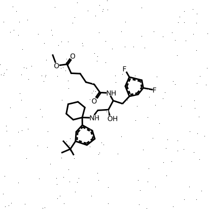 COC(=O)CCCCC(=O)NC(Cc1cc(F)cc(F)c1)[C@@H](O)CNC1(c2cccc(C(C)(C)C)c2)CCCCC1